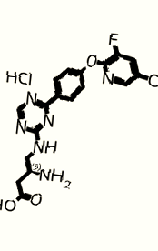 Cl.N[C@H](CNc1ncnc(-c2ccc(Oc3ncc(Cl)cc3F)cc2)n1)CC(=O)O